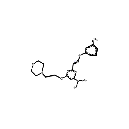 CCCN(CCC)c1cc(OCCN2CCOCC2)nc(/C=N/Nc2cccc(C)c2)n1